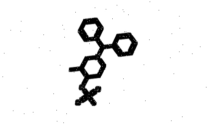 CC1CN(C(c2ccccc2)c2ccccc2)CCC1OS(C)(=O)=O